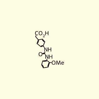 COc1ccccc1NC(=O)Nc1ccc(CC(=O)O)cc1